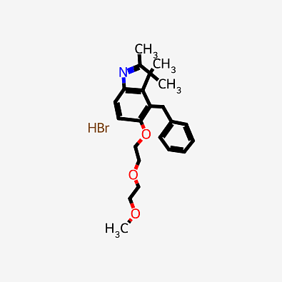 Br.COCCOCCOc1ccc2c(c1Cc1ccccc1)C(C)(C)C(C)=N2